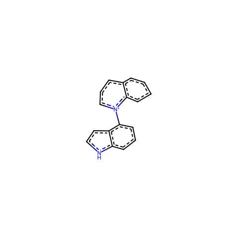 c1ccc2c(c1)ccc[n+]2-c1cccc2[nH]ccc12